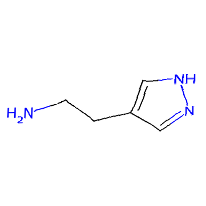 NCCc1cn[nH]c1